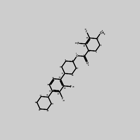 CC1CCC(C(=O)OC2CCC(c3ccc(C4CCCCC4)c(F)c3F)CC2)C(F)=C1F